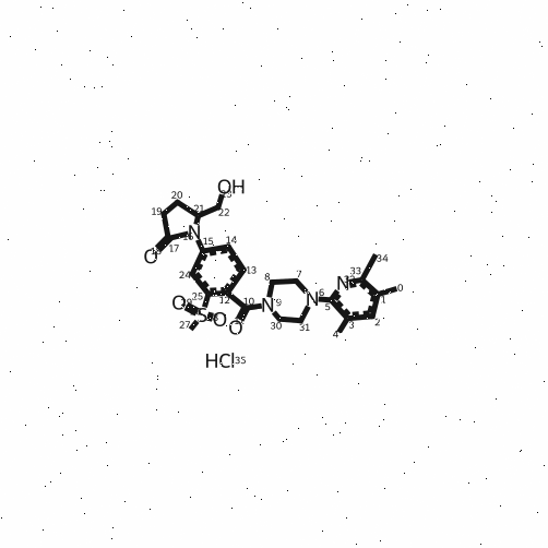 Cc1cc(C)c(N2CCN(C(=O)c3ccc(N4C(=O)CCC4CO)cc3S(C)(=O)=O)CC2)nc1C.Cl